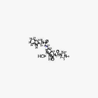 CN1CCN(C(=O)CN2Cc3cc(/C=C/C(=O)N(C)Cc4cc5ccccc5n4C)cnc3NC2=O)CC1.Cl